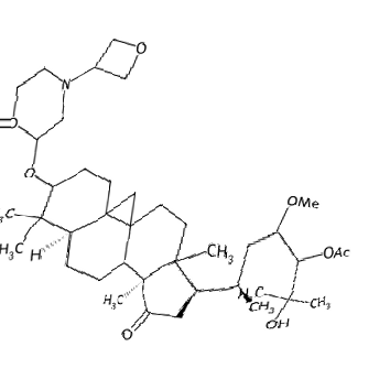 COC(C[C@@H](C)[C@H]1CC(=O)[C@@]2(C)C3CC[C@H]4C(C)(C)C(OC5CN(C6COC6)CCO5)CCC45CC35CCC12C)C(OC(C)=O)C(C)(C)O